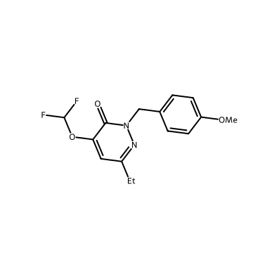 CCc1cc(OC(F)F)c(=O)n(Cc2ccc(OC)cc2)n1